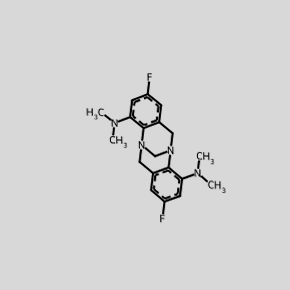 CN(C)c1cc(F)cc2c1N1Cc3cc(F)cc(N(C)C)c3N(C2)C1